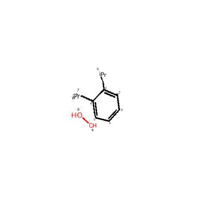 CC(C)c1ccccc1C(C)C.OO